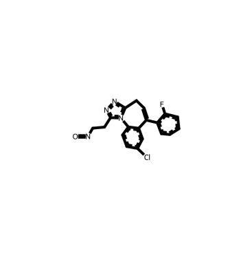 O=NCCc1nnc2n1-c1ccc(Cl)cc1C(c1ccccc1F)=CC2